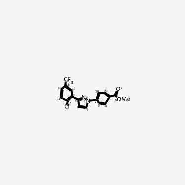 COC(=O)c1ccc(-n2ccc(-c3cc(C(F)(F)F)ccc3Cl)n2)cc1